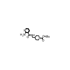 CC(C)(C)OC(=O)N1CCC(CNC(=O)c2cccnc2N)CC1